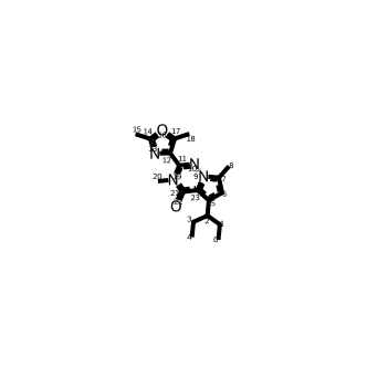 CCC(CC)c1cc(C)n2nc(-c3nc(C)oc3C)n(C)c(=O)c12